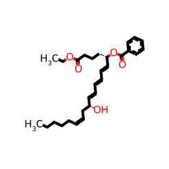 CCCCC/C=C\C[C@@H](O)/C=C/C=CC=C[C@H](CCCC(=O)OCC)OC(=O)c1ccccc1